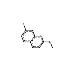 COc1ccc2ccc(F)[c]c2n1